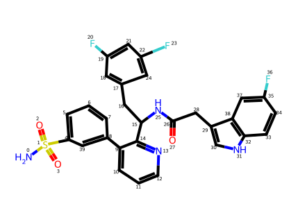 NS(=O)(=O)c1cccc(-c2cccnc2C(Cc2cc(F)cc(F)c2)NC(=O)Cc2c[nH]c3ccc(F)cc23)c1